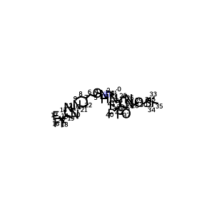 C[C@@H](/C=N/OCCC1CCN(c2ncc(C(F)(F)F)cn2)CC1)Nc1cnn(COCC[Si](C)(C)C)c(=O)c1C(F)(F)F